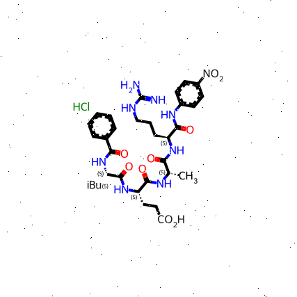 CC[C@H](C)[C@H](NC(=O)c1ccccc1)C(=O)N[C@@H](CCC(=O)O)C(=O)N[C@@H](C)C(=O)N[C@@H](CCCNC(=N)N)C(=O)Nc1ccc([N+](=O)[O-])cc1.Cl